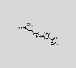 COC(=O)c1csc(NCCCCN(C)C)n1